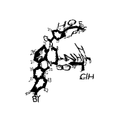 CNC(C)C(=O)N[C@H]1CN(C(=O)c2ccc([C@H](O)C(F)(F)F)cc2)c2ccccc2N(Cc2c(OC)ccc3cc(Br)ccc23)C1=O.Cl